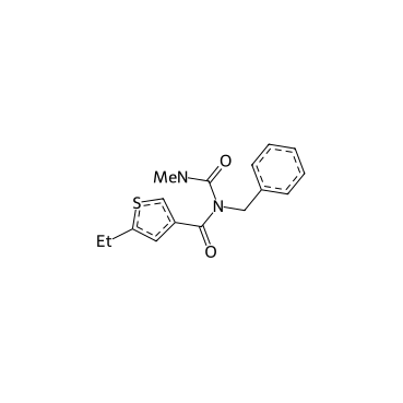 CCc1cc(C(=O)N(Cc2ccccc2)C(=O)NC)cs1